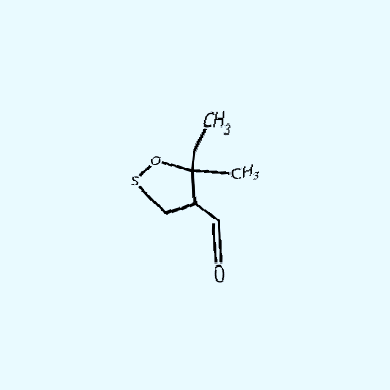 CC1(C)OSCC1C=O